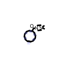 C[Si]1(C)CCN(C(=O)C2=C/C=C\C=C/C=C\C=C/C=C\2)CC1